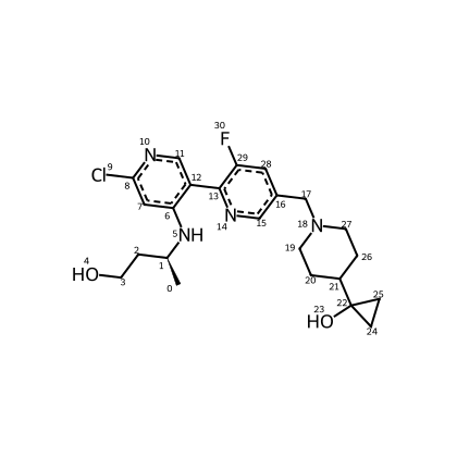 C[C@@H](CCO)Nc1cc(Cl)ncc1-c1ncc(CN2CCC(C3(O)CC3)CC2)cc1F